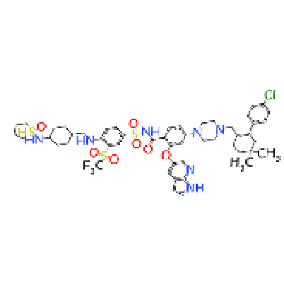 CC1(C)CCC(CN2CCN(c3ccc(C(=O)NS(=O)(=O)c4ccc(NCC5CCC(N[SH]6(=O)CCCC6)CC5)c(S(=O)(=O)C(F)(F)F)c4)c(Oc4cnc5[nH]ccc5c4)c3)CC2)=C(c2ccc(Cl)cc2)C1